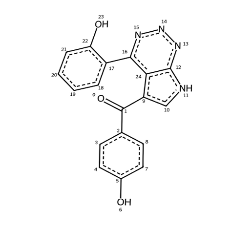 O=C(c1ccc(O)cc1)c1c[nH]c2nnnc(-c3ccccc3O)c12